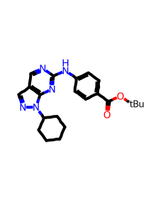 CC(C)(C)OC(=O)c1ccc(Nc2ncc3cnn(C4CCCCC4)c3n2)cc1